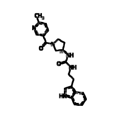 Cc1ccc(C(=O)N2CC[C@@H](NC(=O)NCCc3c[nH]c4ccccc34)C2)cn1